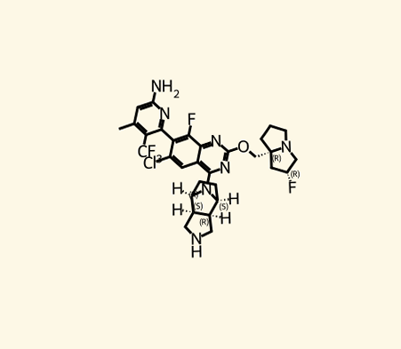 Cc1cc(N)nc(-c2c(Cl)cc3c(N4[C@@H]5CC[C@H]4[C@H]4CNC[C@H]45)nc(OC[C@]45CCCN4C[C@H](F)C5)nc3c2F)c1C(F)(F)F